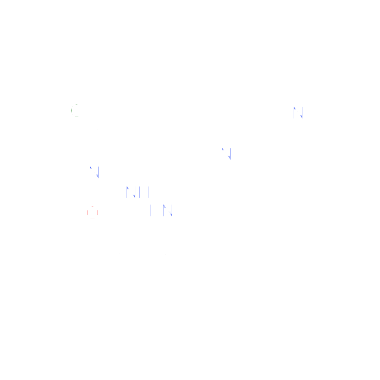 O=C(Nc1ccc(Cl)cn1)c1ccccc1NCC1CCN(Cc2cccnc2)CC1